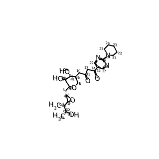 C[C@H]([C@@H]1O[C@H]1C[C@@H]1OC[C@H](CC(=O)CC(=O)c2cnc(N3CCCCC3)nc2)[C@@H](O)[C@H]1O)[C@H](C)O